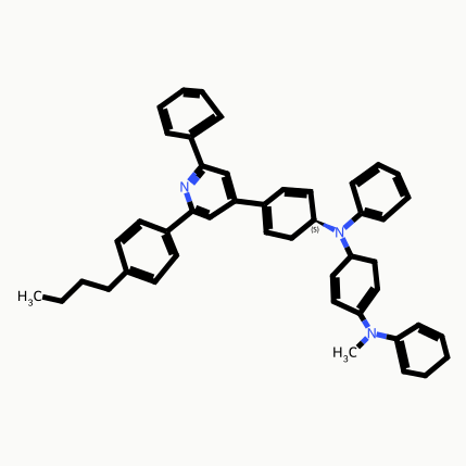 CCCCc1ccc(-c2cc(C3=CC[C@H](N(c4ccccc4)C4C=CC(N(C)C5=CCCC=C5)=CC4)C=C3)cc(-c3ccccc3)n2)cc1